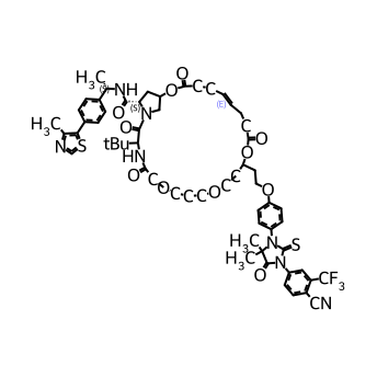 Cc1ncsc1-c1ccc([C@H](C)NC(=O)[C@@H]2CC3CN2C(=O)C(C(C)(C)C)NC(=O)COCCCOCCC(CCOc2ccc(N4C(=S)N(c5ccc(C#N)c(C(F)(F)F)c5)C(=O)C4(C)C)cc2)OC(=O)CC/C=C/CCC(=O)O3)cc1